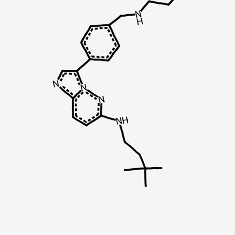 CC(C)(C)CCNc1ccc2ncc(-c3ccc(CNCCN)cc3)n2n1